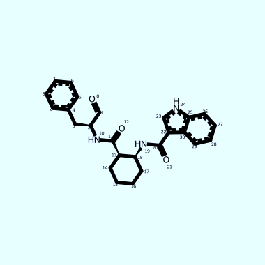 O=[C][C@H](Cc1ccccc1)NC(=O)[C@@H]1CCCC[C@@H]1NC(=O)c1c[nH]c2ccccc12